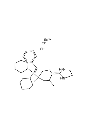 CC1CC(C)(P(=Cc2ccccc2)(C2CCCCC2)C2CCCCC2)CCC1=C1NCCN1.[Cl-].[Cl-].[Ru+2]